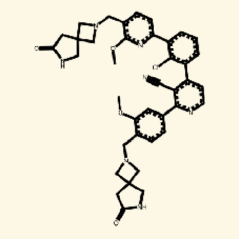 COc1cc(-c2nccc(-c3cccc(-c4ccc(CN5CC6(CNC(=O)C6)C5)c(OC)n4)c3Cl)c2C#N)ccc1CN1CC2(CNC(=O)C2)C1